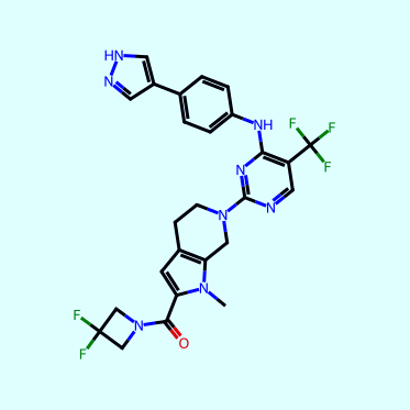 Cn1c(C(=O)N2CC(F)(F)C2)cc2c1CN(c1ncc(C(F)(F)F)c(Nc3ccc(-c4cn[nH]c4)cc3)n1)CC2